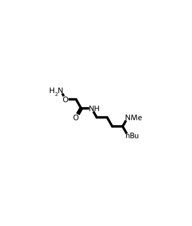 [CH2]CCCC(CCCNC(=O)CON)NC